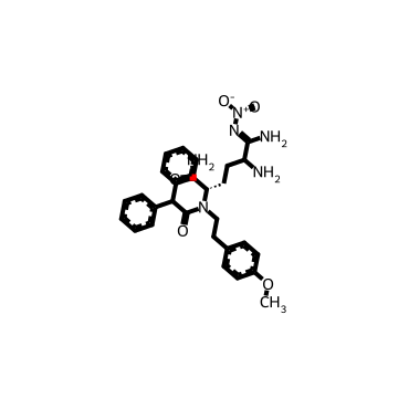 COc1ccc(CCN(C(=O)C(c2ccccc2)c2ccccc2)[C@@H](CCC(N)C(N)=N[N+](=O)[O-])C(N)=O)cc1